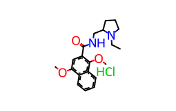 CCN1CCCC1CNC(=O)c1cc(OC)c2ccccc2c1OC.Cl